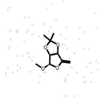 C=C1O[C@@H](OC)C2OC(C)(C)OC12